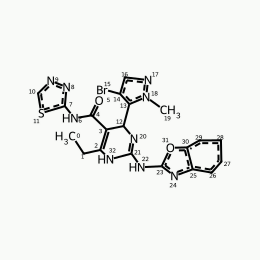 CCC1=C(C(=O)Nc2nncs2)C(c2c(Br)cnn2C)N=C(Nc2nc3ccccc3o2)N1